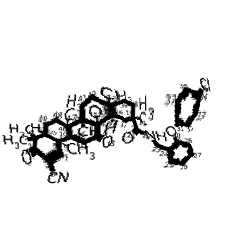 CC1(C)C(=O)C(C#N)=C[C@]2(C)C3=CC(=O)[C@]4(O)[C@@H]5C[C@@](C)(C(=O)NCc6ccccc6Oc6ccc(Cl)cc6)CC[C@]5(C)CC[C@@]4(C)[C@]3(C)CC[C@@H]12